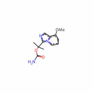 COc1cccn2c(C(C)(C)OC(N)=O)ncc12